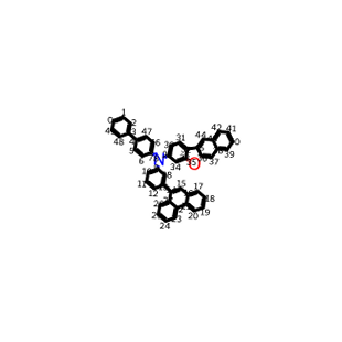 c1ccc(-c2ccc(N(c3cccc(-c4cc5ccccc5c5ccccc45)c3)c3ccc4c(c3)oc3cc5ccccc5cc34)cc2)cc1